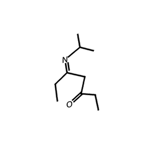 CCC(=O)C/C(CC)=N\C(C)C